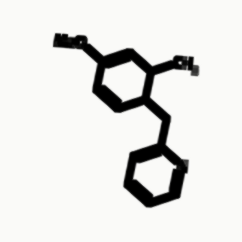 COC1=CC(C)C(Cc2ccccn2)C=C1